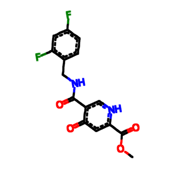 COC(=O)c1cc(=O)c(C(=O)NCc2ccc(F)cc2F)c[nH]1